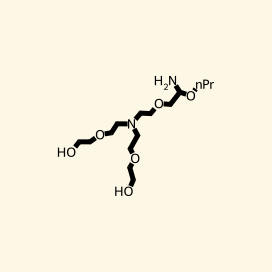 CCCOC(N)COCCN(CCOCCO)CCOCCO